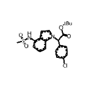 CC(C)(C)OC(=O)C(c1ccc(Cl)cc1)n1ccc2c(NS(C)(=O)=O)cccc21